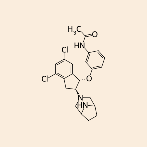 CC(=O)Nc1cccc(O[C@H]2c3cc(Cl)cc(Cl)c3C[C@@H]2N2CC3CCC(C2)N3)c1